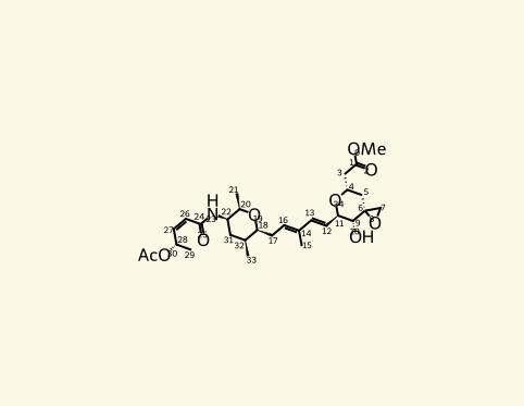 COC(=O)C[C@@H]1C[C@@]2(CO2)[C@H](O)[C@@H](/C=C/C(C)=C/C[C@@H]2O[C@H](C)[C@H](NC(=O)/C=C\[C@H](C)OC(C)=O)C[C@@H]2C)O1